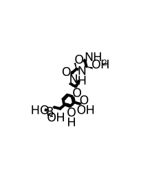 C[C@@H](N[C@H](CO)C(N)=O)C(=O)N1CC(Oc2ccc(CCB(O)O)c(O)c2C(=O)O)C1